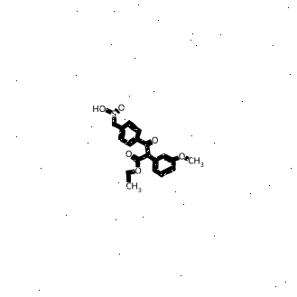 CCOC(=O)C(C(=O)c1ccc(CS(=O)O)cc1)c1cccc(OC)c1